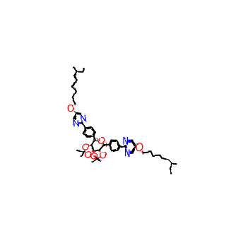 CCC(C)CCCCCCOc1cnc(-c2ccc([C@H](O[C@@H](c3ccc(-c4ncc(OCCCCCCC(C)CC)cn4)cc3)C3COC(C)(C)O3)C3COC(C)(C)O3)cc2)nc1